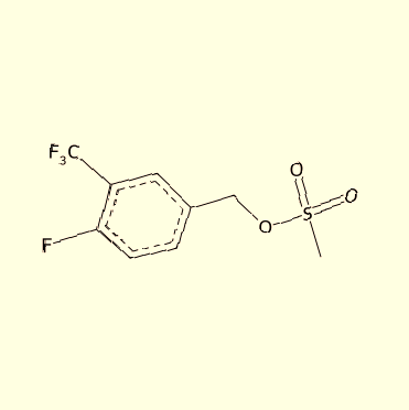 CS(=O)(=O)OCc1ccc(F)c(C(F)(F)F)c1